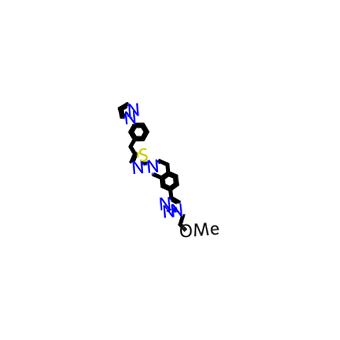 COCCn1cc(-c2ccc3c(c2)CN(c2ncc(Cc4cccc(-n5cccn5)c4)s2)CC3)nn1